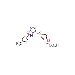 CC(Oc1ccc(SCc2ccnc3oc(-c4ccc(C(F)(F)F)cc4)nc23)cc1)C(=O)O